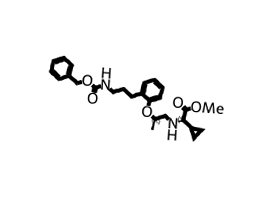 COC(=O)[C@@H](NC[C@@H](C)Oc1ccccc1CCCNC(=O)OCc1ccccc1)C1CC1